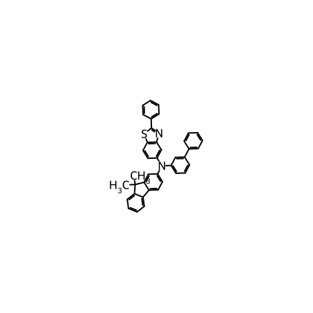 CC1(C)c2ccccc2-c2ccc(N(c3cccc(-c4ccccc4)c3)c3ccc4sc(-c5ccccc5)nc4c3)cc21